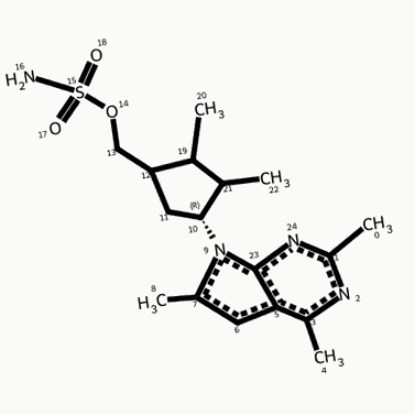 Cc1nc(C)c2cc(C)n([C@@H]3CC(COS(N)(=O)=O)C(C)C3C)c2n1